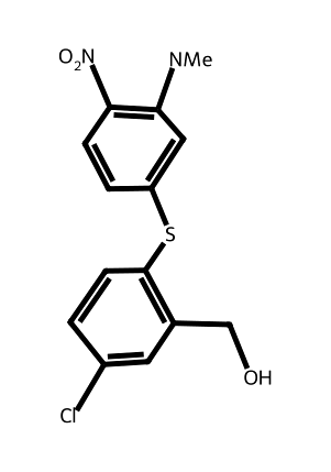 CNc1cc(Sc2ccc(Cl)cc2CO)ccc1[N+](=O)[O-]